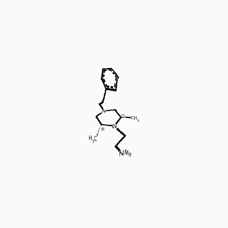 CNCCN1[C@H](C)CN(Cc2ccccc2)C[C@H]1C